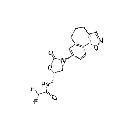 O=C(NC[C@H]1CN(c2ccc3c(c2)CCCc2cnoc2-3)C(=O)O1)C(F)F